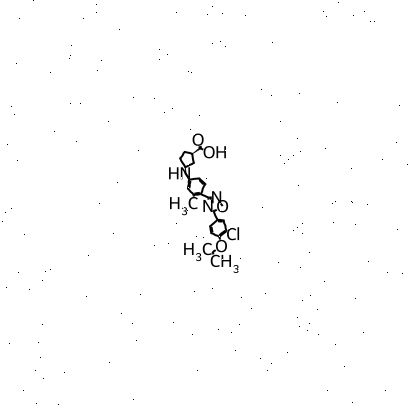 Cc1cc(N[C@H]2CC[C@@H](C(=O)O)C2)ccc1-c1noc(-c2ccc(OC(C)C)c(Cl)c2)n1